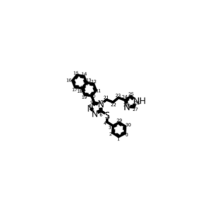 c1ccc(CSc2nnc(-c3ccc4ccccc4c3)n2CCCc2c[nH]cn2)cc1